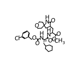 COC(=O)C(CC1CC2(CCOCC2)NC1=O)NC(=O)[C@H](CC1CCCCC1)NC(=O)OCc1cccc(Cl)c1